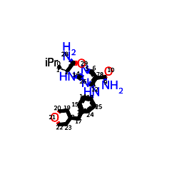 CC(C)C[C@@H](Nc1ncc(C(N)=O)c(Nc2ccc(CC3CCOCC3)cc2)n1)C(N)=O